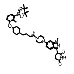 Cc1c(OC2CCC(CCC[C@@H](C)N3CCN(c4ccc5c(C6CCC(=O)NC6=O)nn(C)c5c4)CC3)CC2)cccc1B1OC(C)(C)C(C)(C)O1